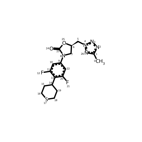 Cc1nnn(C[C@H]2CN(c3cc(F)c(C4CCSCC4)c(F)c3)C(=O)O2)n1